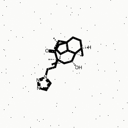 CO[C@@H]1CCC23CC[C@H]4C[C@@]4(C12)[C@H](O)C[C@@](C)(CCn1ccnn1)C(=O)[C@@H]3C